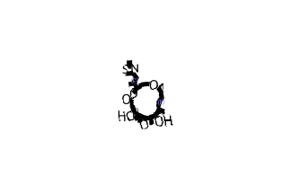 C/C(=C\c1csc(C)n1)C1CCO[C@@H](C)C/C=C/C(C)C(O)C(C)C(=O)C(C)(C)[C@@H](O)CC(=O)O1